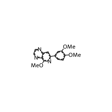 COc1ccc(-c2cc3nccnc3c(OC)n2)cc1OC